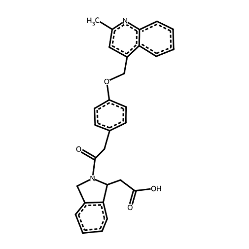 Cc1cc(COc2ccc(CC(=O)N3Cc4ccccc4C3CC(=O)O)cc2)c2ccccc2n1